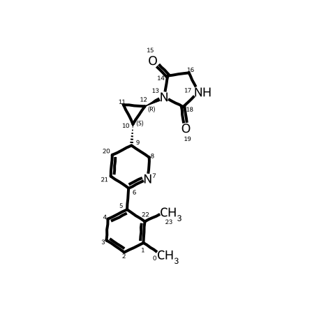 Cc1cccc(C2=NCC([C@@H]3C[C@H]3N3C(=O)CNC3=O)C=C2)c1C